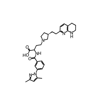 Cc1cc(C)n(-c2cccc(C(=O)NC(CCN3CC[C@@H](CCc4ccc5c(n4)NCCC5)C3)C(=O)O)c2)n1